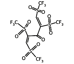 O=C(C(=CS(=O)(=O)C(F)(F)F)S(=O)(=O)C(F)(F)F)C(=CS(=O)(=O)C(F)(F)F)S(=O)(=O)C(F)(F)F